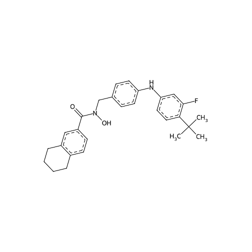 CC(C)(C)c1ccc(Nc2ccc(CN(O)C(=O)c3ccc4c(c3)CCCC4)cc2)cc1F